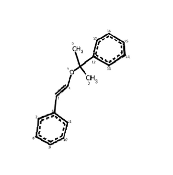 CC(C)(OC=Cc1ccccc1)c1ccccc1